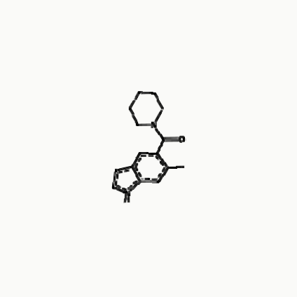 Cc1cc2[nH]ccc2cc1C(=O)N1CCCCC1